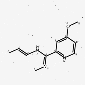 C/C=C/N/C(=N\C)c1cc(OC)ccn1